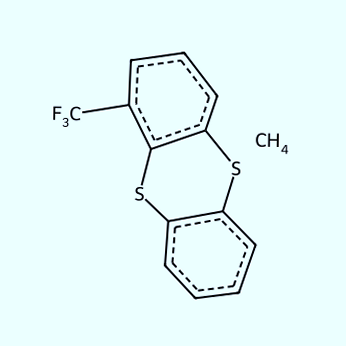 C.FC(F)(F)c1cccc2c1Sc1ccccc1S2